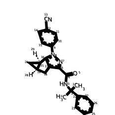 CC(C)(NC(=O)c1nn(-c2ccc(C#N)cc2)c2c1C[C@H]1C[C@@H]21)c1ccccc1